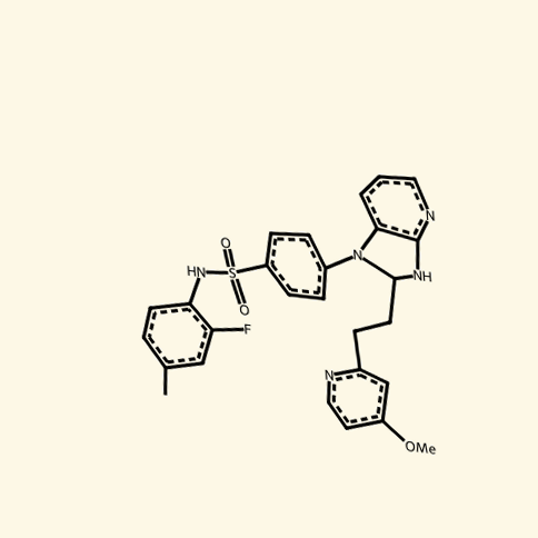 COc1ccnc(CCC2Nc3ncccc3N2c2ccc(S(=O)(=O)Nc3ccc(C)cc3F)cc2)c1